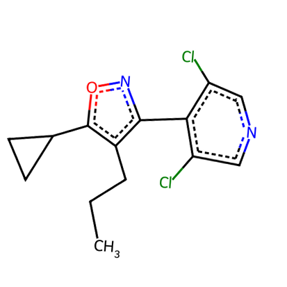 CCCc1c(-c2c(Cl)cncc2Cl)noc1C1CC1